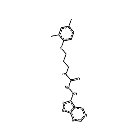 Cc1ccc(OCCCNC(=O)NNc2snc3ncncc23)c(C)c1